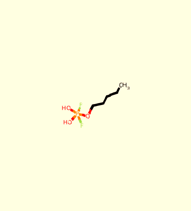 CCCCCOP(O)(O)(F)F